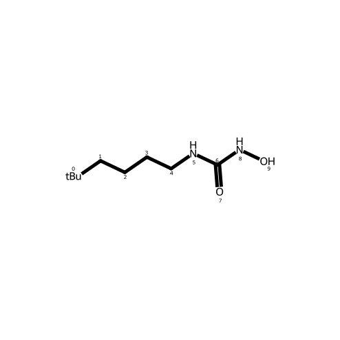 CC(C)(C)CCCCNC(=O)NO